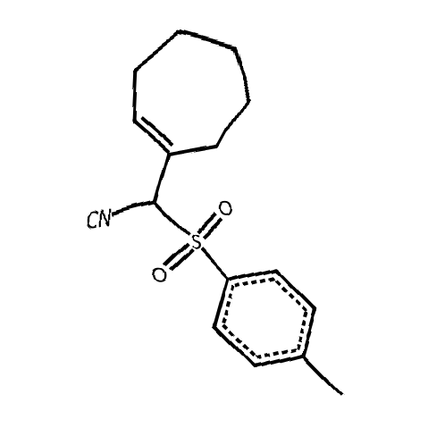 [C-]#[N+]C(C1=CCCCCC1)S(=O)(=O)c1ccc(C)cc1